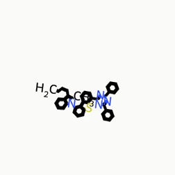 C=C/C=C\c1c(C)n(-c2cccc3sc4c(-c5nc(-c6ccccc6)nc(-c6ccccc6)n5)cccc4c23)c2ccccc12